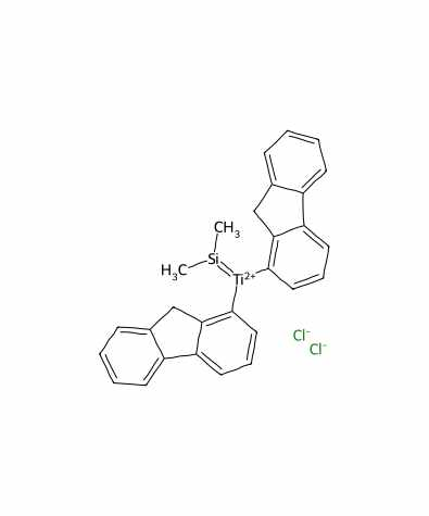 C[Si](C)=[Ti+2]([c]1cccc2c1Cc1ccccc1-2)[c]1cccc2c1Cc1ccccc1-2.[Cl-].[Cl-]